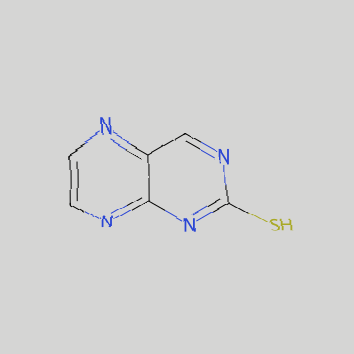 Sc1ncc2nccnc2n1